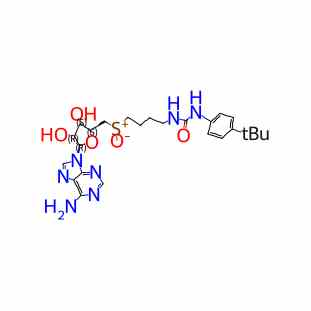 CC(C)(C)c1ccc(NC(=O)NCCCC[S+]([O-])C[C@H]2O[C@@H](n3cnc4c(N)ncnc43)[C@H](O)[C@@H]2O)cc1